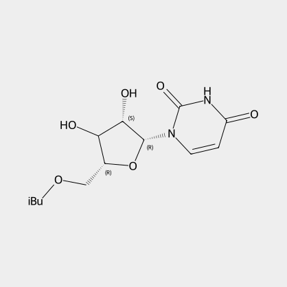 CCC(C)OC[C@H]1O[C@@H](n2ccc(=O)[nH]c2=O)[C@@H](O)C1O